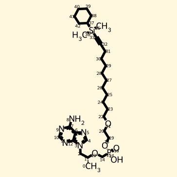 C[C@H](Cn1cnc2c(N)ncnc21)OCP(=O)(O)OCCOCCCCCCCCCCC#C[Si](C)(C)C1CCCCC1